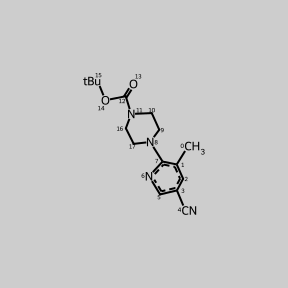 Cc1cc(C#N)cnc1N1CCN(C(=O)OC(C)(C)C)CC1